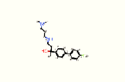 CN(C)CCCNCCC(C)(O)c1ccc(-c2ccc(F)cc2)cc1